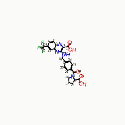 O=C(O)c1nc2ccc(C(F)(F)F)cc2nc1NCc1ccc(C(=O)N2CCCC2C(=O)O)cc1